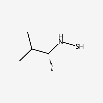 CC(C)[C@@H](C)NS